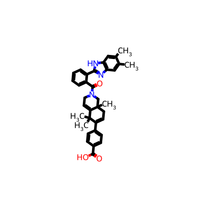 Cc1cc2nc(-c3ccccc3C(=O)N3CC=C4C(C)(CC=C(c5ccc(C(=O)O)cc5)C4(C)C)C3)[nH]c2cc1C